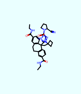 CCNC(=O)c1ccc2c(c1)CCc1cc(C(=O)NCC)ccc1C2(CC1(NCC(=O)N2CCCC2C#N)CCC1)c1nnn[nH]1